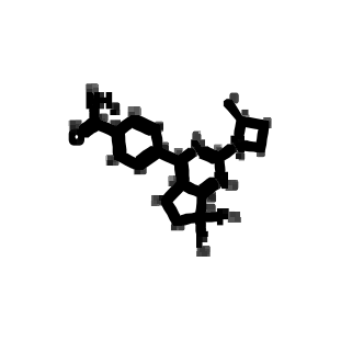 C[C@H]1CCN1c1nc(-c2ccc(C(N)=O)cc2)c2c(n1)C(F)(F)CC2